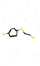 SCCSc1ccc(S)cc1